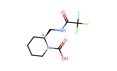 O=C(O)N1CCCC[C@H]1CNC(=O)C(F)(F)F